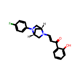 O=C(/C=C/N1C[C@H]2C[C@@H]1CN2c1ccc(F)cc1)c1ccccc1O